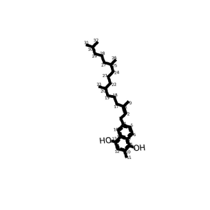 CC(=CCc1ccc2c(O)c(C)cc(O)c2c1)CCCC(C)CCCC(C)CCCC(C)C